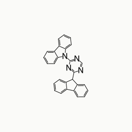 c1ccc2c(c1)-c1ccccc1C2c1ncnc(-n2c3ccccc3c3ccccc32)n1